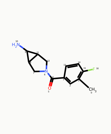 Cc1cc(C(=O)N2CC3C(N)C3C2)ccc1F